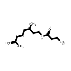 C=C(C)CCCC(C)CCOC(=O)CCC